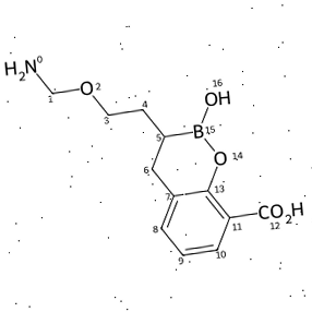 NCOCCC1Cc2cccc(C(=O)O)c2OB1O